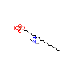 CCCCCCCCCCCCCCCCCCOS(=O)(=O)O.CCNCC